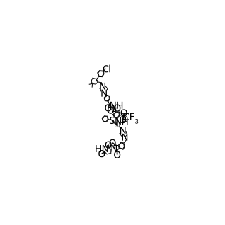 CC1(C)CCC(c2ccc(Cl)cc2)=C(CN2CCN(c3ccc(C(=O)NS(=O)(=O)c4ccc(N[C@H](CCN5CCN(Cc6ccc7c(c6)C(=O)N(C6CCC(=O)NC6=O)C7=O)CC5)CSc5ccccc5)c(S(=O)(=O)C(F)(F)F)c4)cc3)CC2)C1